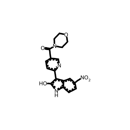 O=C(c1ccc(-c2c(O)[nH]c3ccc([N+](=O)[O-])cc23)nc1)N1CCOCC1